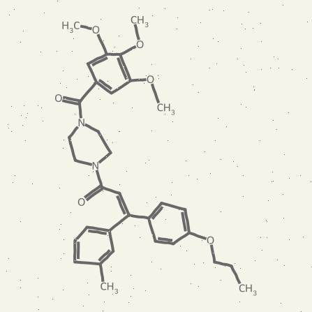 CCCOc1ccc(C(=CC(=O)N2CCN(C(=O)c3cc(OC)c(OC)c(OC)c3)CC2)c2cccc(C)c2)cc1